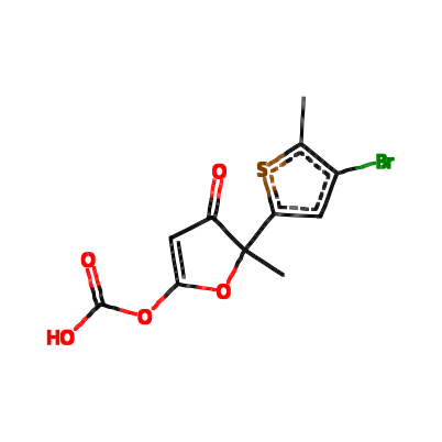 Cc1sc(C2(C)OC(OC(=O)O)=CC2=O)cc1Br